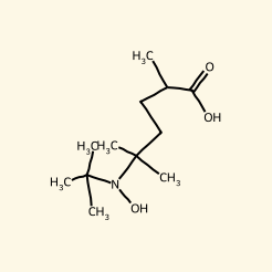 CC(CCC(C)(C)N(O)C(C)(C)C)C(=O)O